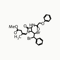 COC(=O)CC(C)=CN1C(=O)C(NC(=O)COc2ccccc2)C1C(Br)C(Br)c1ccccc1